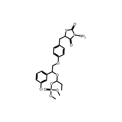 CCC(OC(COc1ccc(CC2SC(=O)N(N)C2=O)cc1)c1cccc(Cl)c1)OP(=O)(OC)OC